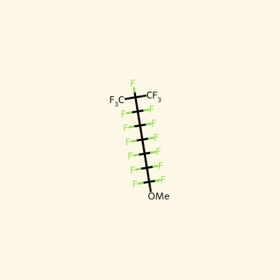 COC(F)(F)C(F)(F)C(F)(F)C(F)(F)C(F)(F)C(F)(F)C(F)(C(F)(F)F)C(F)(F)F